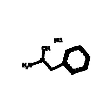 Cl.NN(O)Cc1ccccc1